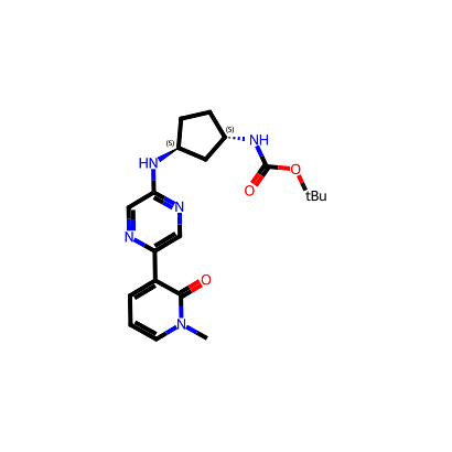 Cn1cccc(-c2cnc(N[C@H]3CC[C@H](NC(=O)OC(C)(C)C)C3)cn2)c1=O